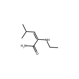 CCNC(=CC(C)C)C(N)=O